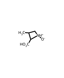 CC1C[NH+]([O-])C1C(=O)O